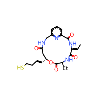 C/C=C1\NC(=O)c2cccc(n2)CNC(=O)C[C@@H](/C=C/CCS)OC(=O)[C@H](CC)NC1=O